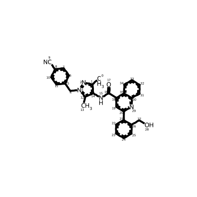 Cc1nn(Cc2ccc(C#N)cc2)c(C)c1NC(=O)c1cc(-c2ccccc2CO)nc2ccccc12